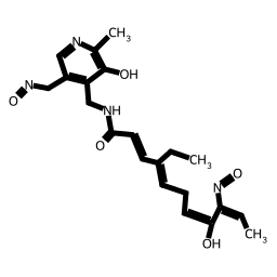 C/C=C(N=O)\C(O)=C/C/C=C(/C=C/C(=O)NCc1c(CN=O)cnc(C)c1O)CC